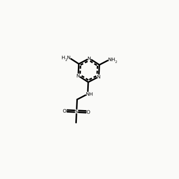 CS(=O)(=O)CNc1nc(N)nc(N)n1